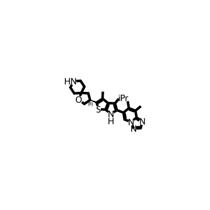 Cc1c(-c2[nH]c3sc([C@H]4COC5(CCNCC5)C4)c(C)c3c2C(C)C)cn2ncnc2c1C